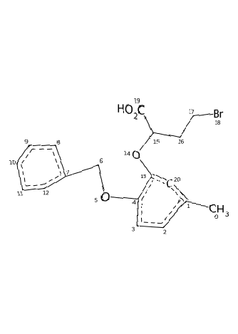 Cc1ccc(OCc2ccccc2)c(OC(CCBr)C(=O)O)c1